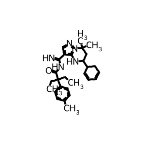 CCC(CC)(C(=O)NC(=N)c1cnn2c1NC(C1C=CC=CC1)CC2(C)C)c1ccc(C)cc1